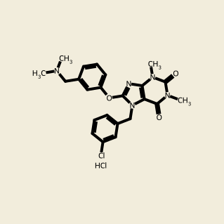 CN(C)Cc1cccc(Oc2nc3c(c(=O)n(C)c(=O)n3C)n2Cc2cccc(Cl)c2)c1.Cl